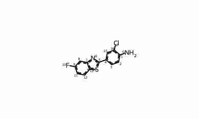 Nc1ccc(-c2nc3cc(F)ccc3s2)cc1Cl